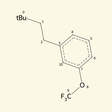 CC(C)(C)CCc1cccc(OC(F)(F)F)c1